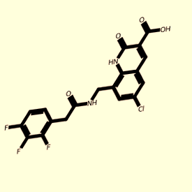 O=C(Cc1ccc(F)c(F)c1F)NCc1cc(Cl)cc2cc(C(=O)O)c(=O)[nH]c12